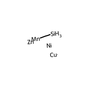 [Cu].[Ni].[SiH3][Mn].[Zn]